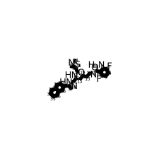 Nc1c(F)ccc(F)c1C(=O)NCCCC[C@H](NC(=O)c1cncs1)c1ncc(-c2ccc3ccccc3c2)[nH]1